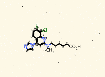 CN(CCCCCC(=O)O)c1cc(-n2ccnc2)c2ccc(Cl)c(Cl)c2n1